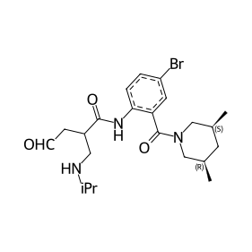 CC(C)NCC(CC=O)C(=O)Nc1ccc(Br)cc1C(=O)N1C[C@H](C)C[C@H](C)C1